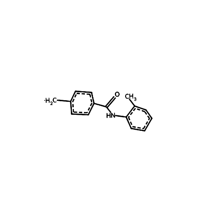 [CH2]c1ccc(C(=O)Nc2ccccc2C)cc1